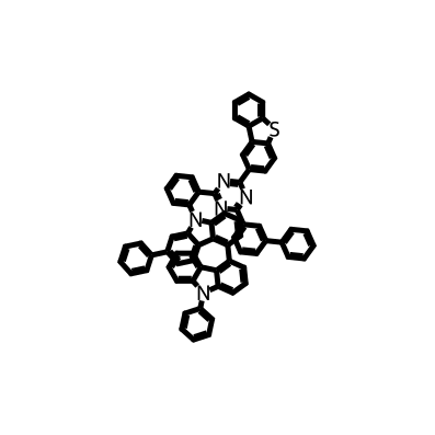 c1ccc(-c2cccc(-c3nc(-c4ccc5sc6ccccc6c5c4)nc(-c4ccccc4-n4c5cc(-c6ccccc6)ccc5c5c(-c6cccc7c6c6ccccc6n7-c6ccccc6)cccc54)n3)c2)cc1